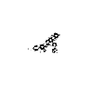 C=CC(=O)N1CC[C@H](n2c(=O)c(Oc3ccccc3F)cc3cnc(Nc4ccc(N5CCN(C)CC5)cc4OC)nc32)C1